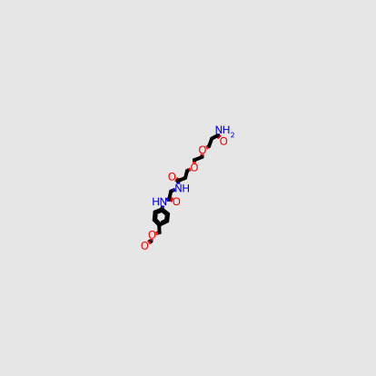 NC(=O)CCOCCOCCC(=O)NCC(=O)Nc1ccc(COC=O)cc1